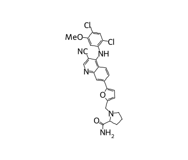 COc1cc(Nc2c(C#N)cnc3cc(-c4ccc(CN5CCCC5C(N)=O)o4)ccc23)c(Cl)cc1Cl